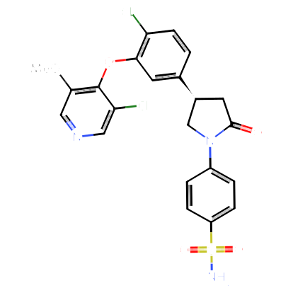 COc1cncc(Cl)c1Oc1cc([C@H]2CC(=O)N(c3ccc(S(N)(=O)=O)cc3)C2)ccc1Cl